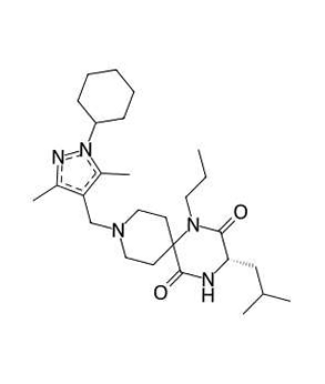 CCCN1C(=O)[C@H](CC(C)C)NC(=O)C12CCN(Cc1c(C)nn(C3CCCCC3)c1C)CC2